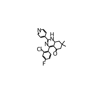 CC1(C)CC(=O)C2=C(c3ccc(F)cc3Cl)N=C(c3ccncc3)NC2C1